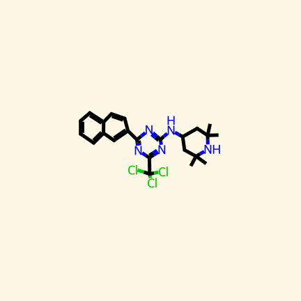 CC1(C)CC(Nc2nc(-c3ccc4ccccc4c3)nc(C(Cl)(Cl)Cl)n2)CC(C)(C)N1